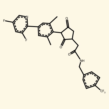 Cc1cc(-c2ncc(F)cc2F)cc(C)c1C1C(=O)CC(CC(=O)NCc2ccc(C(F)(F)F)cc2)C1=O